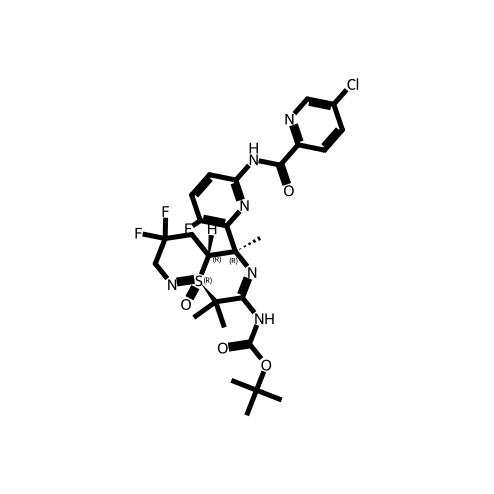 CC(C)(C)OC(=O)NC1=N[C@](C)(c2nc(NC(=O)c3ccc(Cl)cn3)ccc2F)[C@H]2CC(F)(F)CN=[S@]2(=O)C1(C)C